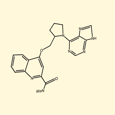 CNC(=O)c1cc(OCC2CCCN2c2ncnc3[nH]cnc23)c2ccccc2n1